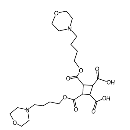 O=C(O)C1C(C(=O)O)C(C(=O)OCCCCN2CCOCC2)C1C(=O)OCCCCN1CCOCC1